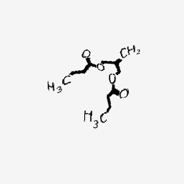 C=C(COC(=O)CCC)COC(=O)CCC